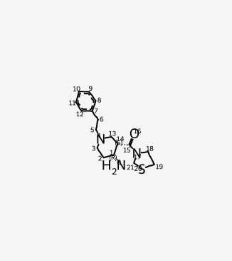 N[C@@H]1CCN(CCc2ccccc2)C[C@@H]1C(=O)N1CCSC1